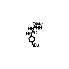 CCCCC1CCC(NC(=O)NC(=N)OC)CC1